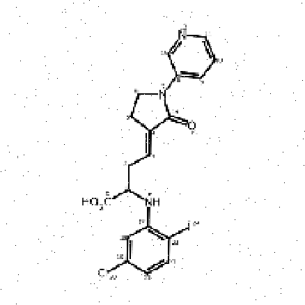 O=C(O)C(CC=C1CCN(c2cccnc2)C1=O)Nc1cc(Cl)ccc1I